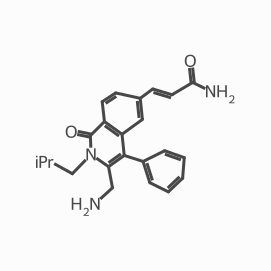 CC(C)Cn1c(CN)c(-c2ccccc2)c2cc(C=CC(N)=O)ccc2c1=O